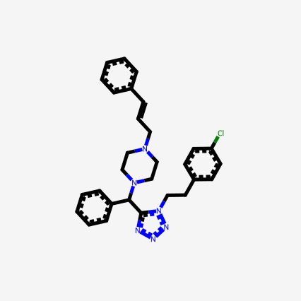 Clc1ccc(CCn2nnnc2C(c2ccccc2)N2CCN(CC=Cc3ccccc3)CC2)cc1